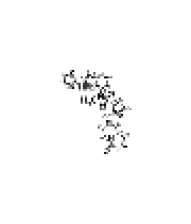 CN(c1cccc2cc(-c3nccs3)[nH]c12)S(=O)(=O)c1ccsc1CN1CCN2C(=O)COCC2C1